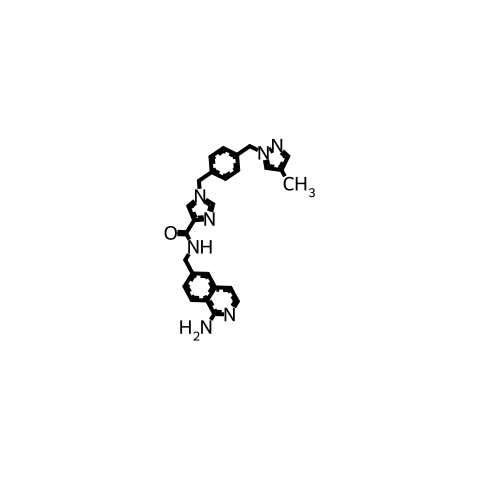 Cc1cnn(Cc2ccc(Cn3cnc(C(=O)NCc4ccc5c(N)nccc5c4)c3)cc2)c1